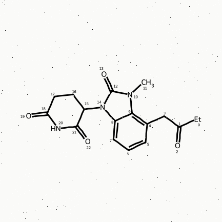 CCC(=O)Cc1cccc2c1n(C)c(=O)n2C1CCC(=O)NC1=O